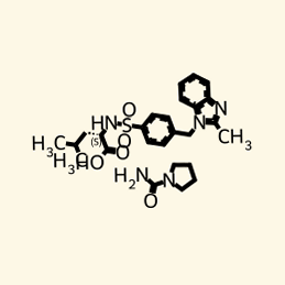 Cc1nc2ccccc2n1Cc1ccc(S(=O)(=O)N[C@@H](CC(C)C)C(=O)O)cc1.NC(=O)N1CCCC1